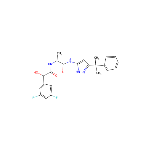 CC(NC(=O)C(O)c1cc(F)cc(F)c1)C(=O)Nc1cc(C(C)(C)c2ccccc2)n[nH]1